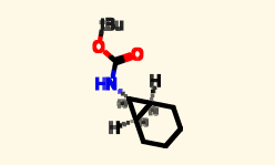 CC(C)(C)OC(=O)N[C@H]1[C@@H]2CCCC[C@@H]21